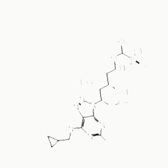 CO[C@H]([C@H](O)[C@H](O)CCOC(C)P(=O)(O)O)n1nnc2c(NCC3CC3)nc(Cl)nc21